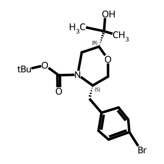 CC(C)(C)OC(=O)N1C[C@H](C(C)(C)O)OC[C@@H]1Cc1ccc(Br)cc1